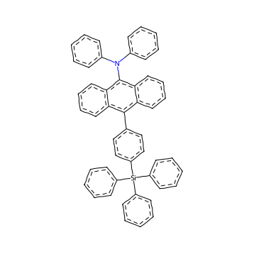 c1ccc(N(c2ccccc2)c2c3ccccc3c(-c3ccc([Si](c4ccccc4)(c4ccccc4)c4ccccc4)cc3)c3ccccc23)cc1